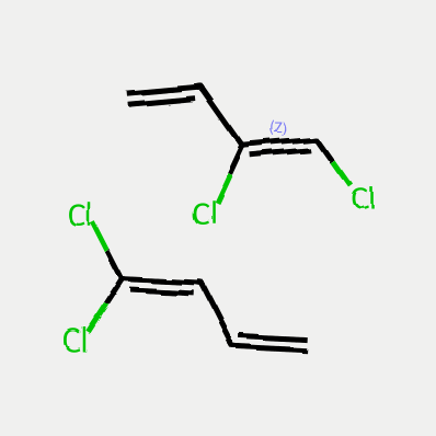 C=C/C(Cl)=C/Cl.C=CC=C(Cl)Cl